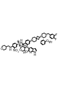 CC(C)Oc1ccccc1[C@H]1CN(Cc2ccc(F)c(F)c2)CCN1C1CC2(CCN(c3ccc(C(=O)NS(=O)(=O)c4ccc(NCC5CCOCC5)c([N+](=O)[O-])c4)c(N4c5cc6cc[nH]c6nc5O[C@H]5COCC[C@@H]54)c3)CC2)C1